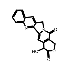 O=C1OCc2c(cc3n(c2=O)Cc2cc4ccccc4nc2-3)C1O